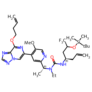 C=CCCOc1nc(-c2cc([C@@H](C)N(CC)C(=O)N[C@H](CC=C)CC(O[Si](C)(C)C(C)(C)C)C(F)(F)F)ncc2OC)cn2ncnc12